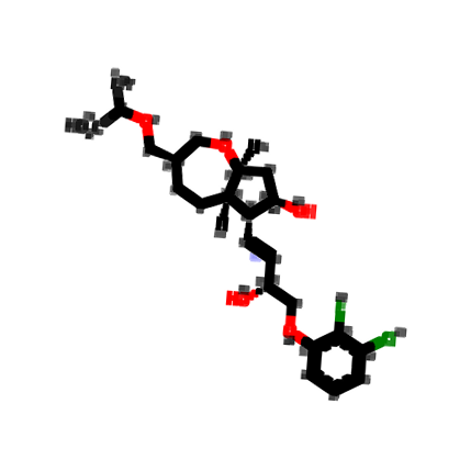 CCCC(OC[C@@H]1CC[C@@H]2[C@@H](/C=C/[C@@H](O)COc3cccc(Cl)c3F)[C@H](O)C[C@@H]2OC1)C(=O)O